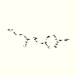 BCCC(=O)NCc1ccc(CCC)cc1